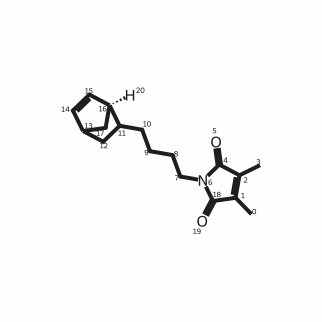 CC1=C(C)C(=O)N(CCCCC2CC3C=C[C@@H]2C3)C1=O